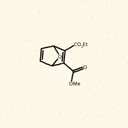 CCOC(=O)C1=C(C(=O)OC)C2C=CC1O2